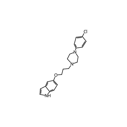 Clc1ccc(N2CCN(CCCOc3ccc4[nH]ccc4c3)CC2)cc1